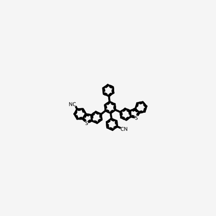 N#Cc1cccc(-c2c(-c3ccc4sc5ccccc5c4c3)cc(-c3ccccc3)cc2-c2ccc3sc4ccc(C#N)cc4c3c2)c1